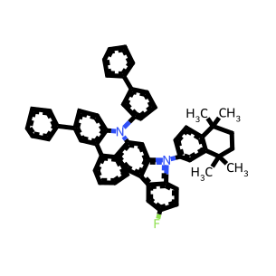 CC1(C)CCC(C)(C)c2cc(-n3c4ccc(F)cc4c4ccc(N(c5cccc(-c6ccccc6)c5)c5ccc(-c6ccccc6)cc5-c5ccccc5)cc43)ccc21